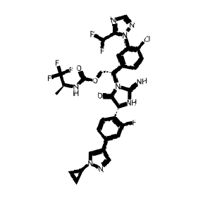 C[C@H](NC(=O)OC[C@H](c1ccc(Cl)c(-n2ncnc2C(F)F)c1)N1C(=N)N[C@H](c2ccc(-c3cnn(C4CC4)c3)cc2F)C1=O)C(F)(F)F